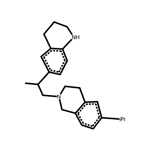 CC(C)c1ccc2c(c1)CCN(CC(C)c1ccc3c(c1)CCCN3)C2